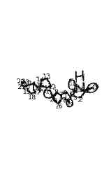 O=C1CCC(N2Cc3cc(O[C@H]4CCC[C@@H]4N4CCCC5(CCC5)C4)ccc3C2=O)C(=O)N1